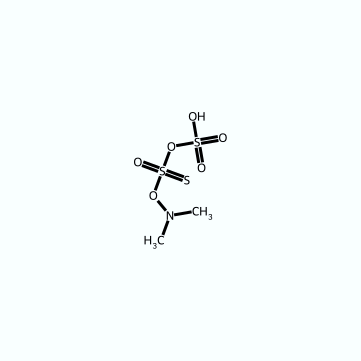 CN(C)OS(=O)(=S)OS(=O)(=O)O